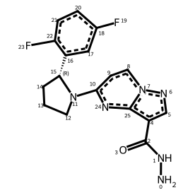 NNC(=O)c1cnn2ccc(N3CCC[C@@H]3c3cc(F)ccc3F)nc12